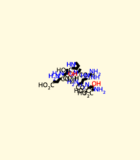 CC(N)C(=O)O.CC(O)C(N)C(=O)O.N=C(N)NCCCC(N)C(=O)O.NC(CCC(=O)O)C(=O)O.NC(CO)C(=O)O.NCC(=O)O.O=C(O)[C@@H]1CCCN1